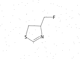 FCC1CS[C]=N1